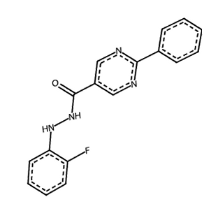 O=C(NNc1ccccc1F)c1cnc(-c2ccccc2)nc1